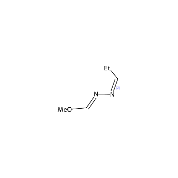 CC/C=N\N=COC